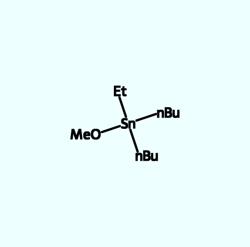 CCC[CH2][Sn]([CH2]C)([CH2]CCC)[O]C